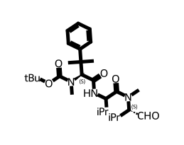 CC(C)C(NC(=O)[C@@H](N(C)C(=O)OC(C)(C)C)C(C)(C)c1ccccc1)C(=O)N(C)[C@H](C=O)C(C)C